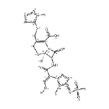 CO/N=C(/C(=O)NC1C(=O)N2C(C(=O)O)=C(CSc3nnnn3C)CS[C@H]12)c1cs/c(=N\S(C)(=O)=O)n1C